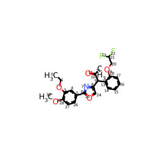 CCOc1cc(-c2nc(C(C(C)=O)c3ccccc3OCC(F)F)co2)ccc1OC